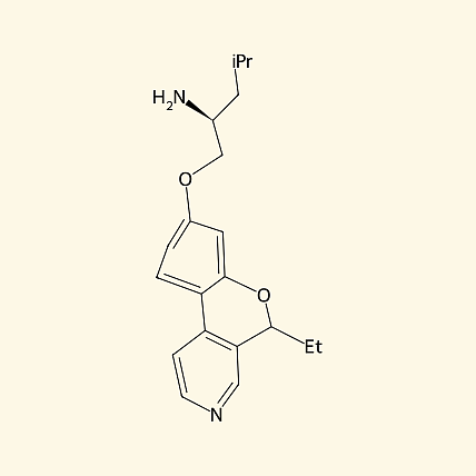 CCC1Oc2cc(OC[C@@H](N)CC(C)C)ccc2-c2ccncc21